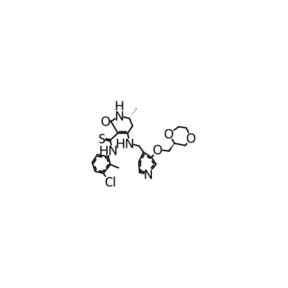 Cc1c(Cl)cccc1NC(=S)C1=C(NCc2ccncc2OC[C@@H]2COCCO2)C[C@@H](C)NC1=O